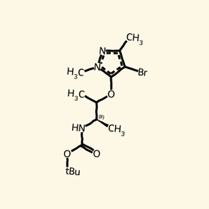 Cc1nn(C)c(OC(C)[C@@H](C)NC(=O)OC(C)(C)C)c1Br